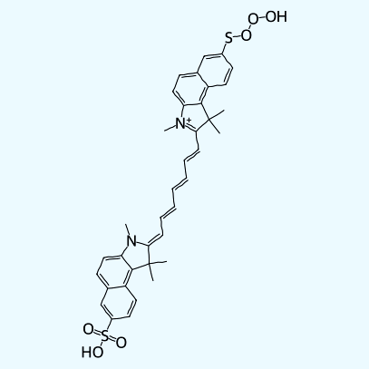 CN1C(=CC=CC=CC=CC2=[N+](C)c3ccc4cc(SOOO)ccc4c3C2(C)C)C(C)(C)c2c1ccc1cc(S(=O)(=O)O)ccc21